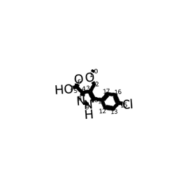 COCc1c(C(=O)O)n[nH]c1-c1ccc(Cl)cc1